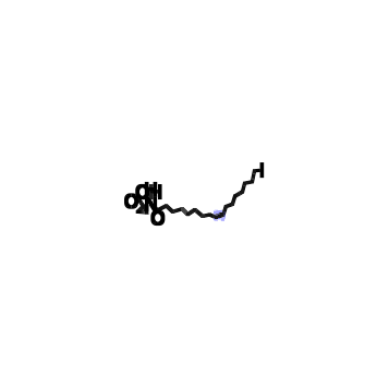 O=C(CCCCCCC/C=C\CCCCCCCI)NC1(C(=O)O)CC1